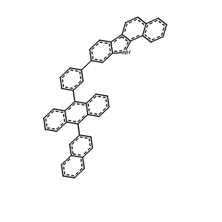 c1cc(-c2ccc3c(c2)[nH]c2c4ccccc4ccc32)cc(-c2c3ccccc3c(-c3ccc4ccccc4c3)c3ccccc23)c1